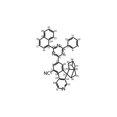 N#Cc1cc(-c2nc(-c3ccccc3)nc(-c3cccc4ccccc34)n2)cc2c1-c1ccncc1C21C2CC3CC(C2)C1C3